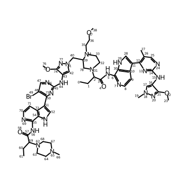 CCC(C(=O)Nc1nccc2c(-c3nc(Nc4cn(C)nc4OC)ncc3C)c[nH]c12)N1CCN(CCOC)C(Cn2cc(Nc3ncc(Br)c(-c4c[nH]c5c(NC(=O)C(CC)N6CCN(C)CC6)nccc45)n3)c(OC)n2)C1